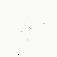 CN(C)c1cncc(I)n1